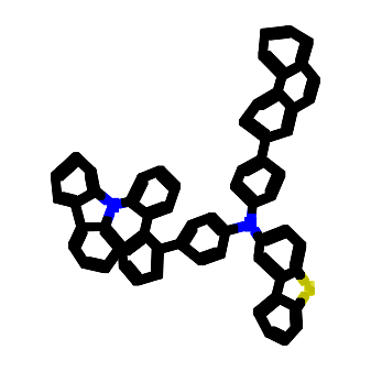 c1ccc(-c2ccccc2-n2c3ccccc3c3ccccc32)c(-c2ccc(N(c3ccc(-c4ccc5c(ccc6ccccc65)c4)cc3)c3ccc4sc5ccccc5c4c3)cc2)c1